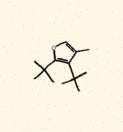 Cc1coc(C(C)(C)C)c1C(C)(C)C